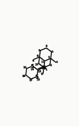 CN1CC2(C)CCCC(C)(C1)C2C=C1SCCCS1